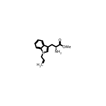 C=CCn1cc(C[C@H](N)C(=O)OC)c2ccccc21